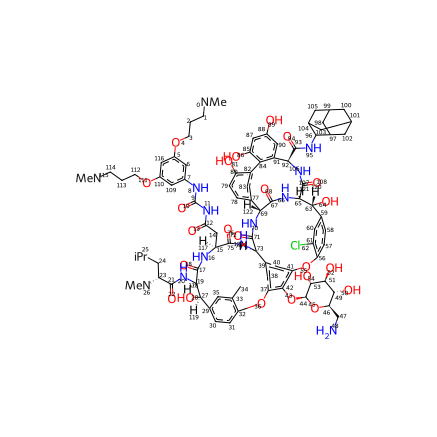 CNCCCOc1cc(NC(=O)NC(=O)C[C@@H]2NC(=O)[C@H](NC(=O)[C@@H](CC(C)C)NC)[C@H](O)c3ccc(c(C)c3)Oc3cc4cc(c3O[C@@H]3O[C@H](CN)[C@@H](O)[C@H](O)[C@H]3O)Oc3ccc(cc3Cl)[C@@H](O)[C@@H]3NC(=O)[C@H](NC(=O)[C@@H]4NC2=O)c2ccc(O)c(c2)-c2c(O)cc(O)cc2[C@@H](C(=O)NC2C4CC5CC(C4)CC2C5)NC3=O)cc(OCCCNC)c1